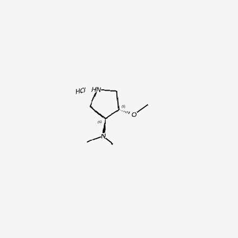 CO[C@H]1CNC[C@@H]1N(C)C.Cl